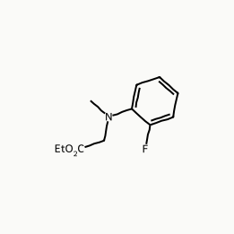 CCOC(=O)CN(C)c1ccccc1F